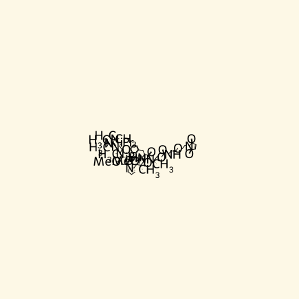 CC[C@H](C)C([C@@H](CC(=O)N1CCC[C@H]1[C@H](OC)[C@@H](C)C(=O)N[C@@H](Cc1ccccc1)C(=O)N[C@@H](C)COC(=O)NCCOCCN1C(=O)C=CC1=O)OC)N(C)C(=O)[C@@H](N=C(N(C)C)N(C)C)C(C)C